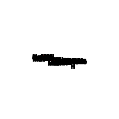 CNc1c(SC)cc(C)c(NCC(O)COCC2CCC(COCCC(O)CNc3c(SC)cc(C)c(NCC(O)COCC4CCC(COCC(O)CNc5c(C)cc(SC)c(NC)c5SC)CC4)c3SC)CC2)c1SC